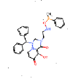 CP(ONCCN1CN(C(c2ccccc2)c2ccccc2)n2ccc(=O)c(O)c2C1=O)c1ccccc1